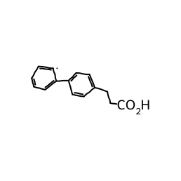 O=C(O)CCc1ccc(-c2[c]cccc2)cc1